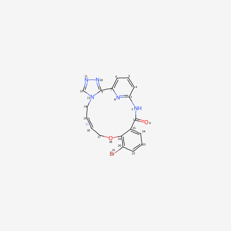 O=C1Nc2cccc(n2)-c2nncn2C/C=C\COc2c(Br)cccc21